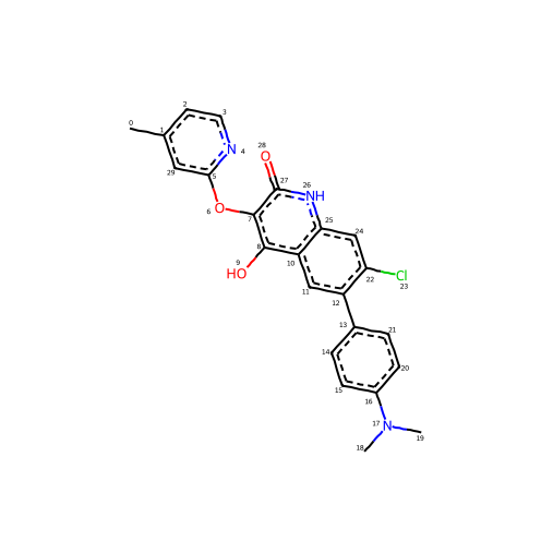 Cc1ccnc(Oc2c(O)c3cc(-c4ccc(N(C)C)cc4)c(Cl)cc3[nH]c2=O)c1